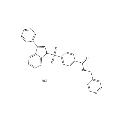 Cl.O=C(NCc1ccncc1)c1ccc(S(=O)(=O)n2cc(-c3ccccc3)c3ccccc32)cc1